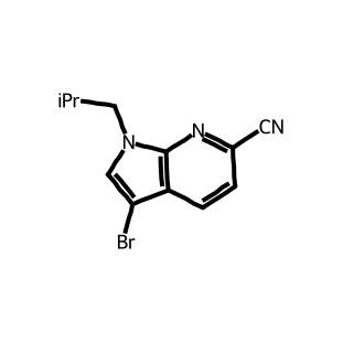 CC(C)Cn1cc(Br)c2ccc(C#N)nc21